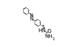 NC(=O)NSc1ccc(N=Nc2ccccc2)cc1